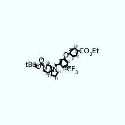 CCOC(=O)C1CCC(Oc2cc(CN3CCCC34CCN(C(=O)OC(C)(C)C)CC4)cc(C(F)(F)F)c2)CC1